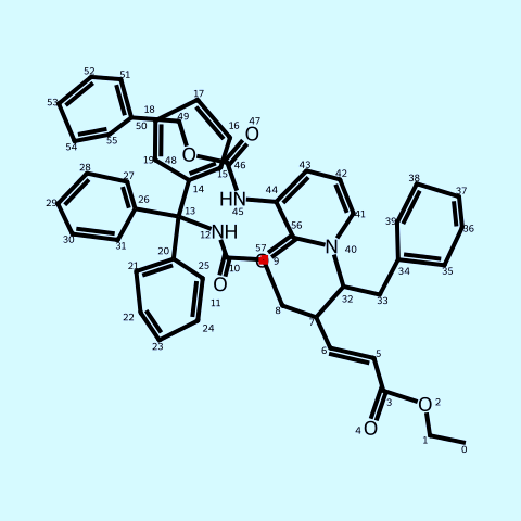 CCOC(=O)C=CC(CCC(=O)NC(c1ccccc1)(c1ccccc1)c1ccccc1)C(Cc1ccccc1)n1cccc(NC(=O)OCc2ccccc2)c1=O